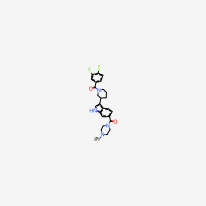 CC(C)N1CCN(C(=O)c2ccc3c(C4CCCN(C(=O)c5ccc(F)c(F)c5)C4)c[nH]c3c2)CC1